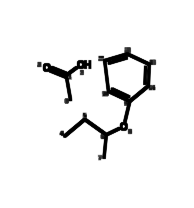 CC(=O)O.CCC(C)Oc1ccccc1